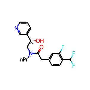 CCCN(C[C@@H](O)c1cccnc1)C(=O)Cc1ccc(C(F)F)c(F)c1